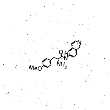 COc1ccc(CC(N)C(=O)Nc2ccc3cnccc3c2)cc1